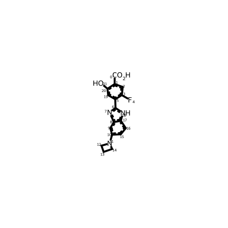 O=C(O)c1cc(F)c(-c2nc3cc(N4CCC4)ccc3[nH]2)cc1O